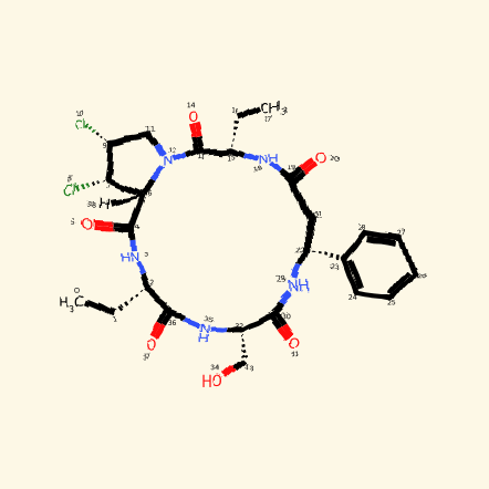 CC[C@@H]1NC(=O)[C@@H]2[C@H](Cl)[C@H](Cl)CN2C(=O)[C@H](CC)NC(=O)C[C@H](c2ccccc2)NC(=O)[C@H](CO)NC1=O